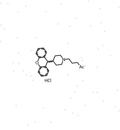 CC(=O)CCCN1CCC(=C2c3ccccc3Oc3ccccc32)CC1.Cl